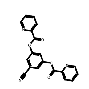 N#Cc1cc(OC(=O)c2ccccn2)cc(OC(=O)c2ccccn2)c1